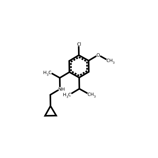 COc1cc(C(C)C)c(C(C)NCC2CC2)cc1Cl